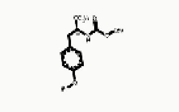 CC(C)Oc1ccc(C[C@H](NC(=O)OC(C)(C)C)C(=O)O)cc1